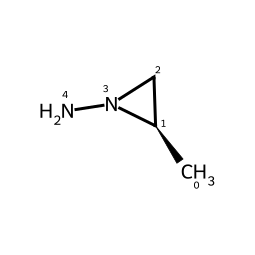 C[C@@H]1CN1N